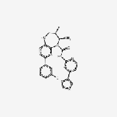 CC[C@@H]1CNc2ccc(-c3cccc(Cl)c3)nc2N(C(=O)Nc2cc(-c3cnco3)ccn2)[C@@H]1C